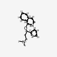 CN(C)CCC(Oc1nccc2ccccc12)c1cccs1